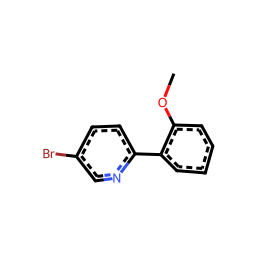 COc1ccccc1-c1ccc(Br)cn1